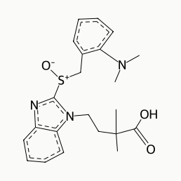 CN(C)c1ccccc1C[S+]([O-])c1nc2ccccc2n1CCC(C)(C)C(=O)O